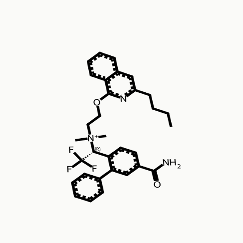 CCCCc1cc2ccccc2c(OCC[N+](C)(C)[C@H](c2ccc(C(N)=O)cc2-c2ccccc2)C(F)(F)F)n1